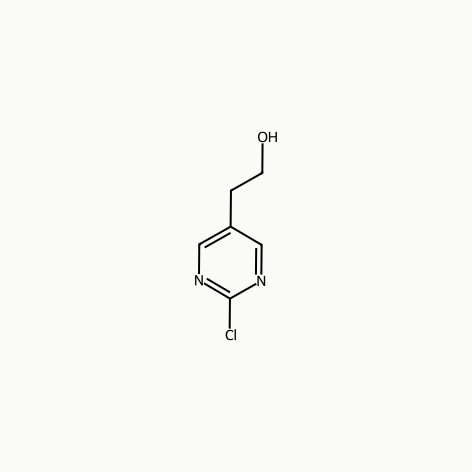 OCCc1cnc(Cl)nc1